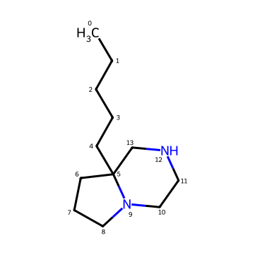 CCCCCC12CCCN1CCNC2